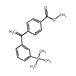 C=C(c1ccc(C(=O)OC)cc1)c1cccc([Si](C)(C)C)c1